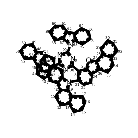 c1ccc2cc3c(cc2c1)c1ccc2ccccc2c1n3-c1ccc2c(oc3c4ccccc4ccc23)c1-c1nc(-c2cccc3c2sc2ccccc23)nc(-n2c3ccccc3c3ccccc32)n1